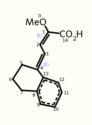 CO/C(=C/C=C1\CCCc2ccccc21)C(=O)O